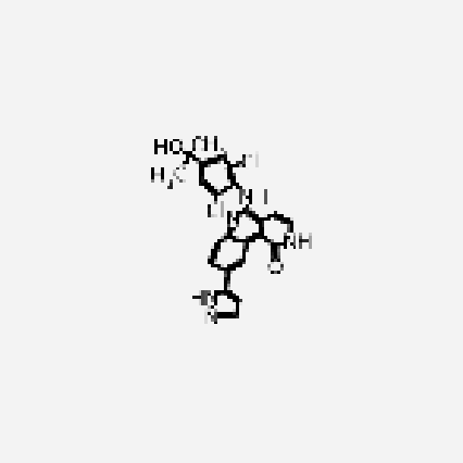 CC(C)(O)c1cc(Cl)c(Nc2nc3ccc(-c4ccn[nH]4)cc3c3c(=O)[nH]ccc23)c(Cl)c1